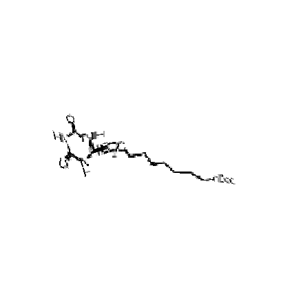 CCCCCCCCCCCCCCCCCC(=O)O.O=c1[nH]c(=O)[nH]c(=O)[nH]1